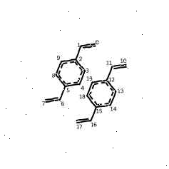 C=Cc1ccc(C=C)cc1.C=Cc1ccc(C=C)cc1